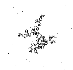 CC(C)OC(=O)OCOP(=O)(OCOC(=O)OC(C)C)OC[C@@]1(CF)O[C@@H](N2C=CC(=O)NC2O)[C@](C)(O)[C@@H]1OC(=O)C(N)C(C)C